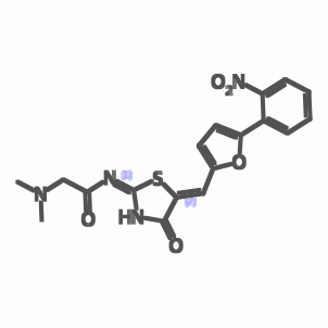 CN(C)CC(=O)/N=C1\NC(=O)/C(=C/c2ccc(-c3ccccc3[N+](=O)[O-])o2)S1